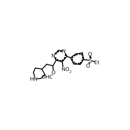 CCS(=O)(=O)c1ccc(-c2ncnc(C(CC3CCNCC3)OC=O)c2[N+](=O)[O-])cc1